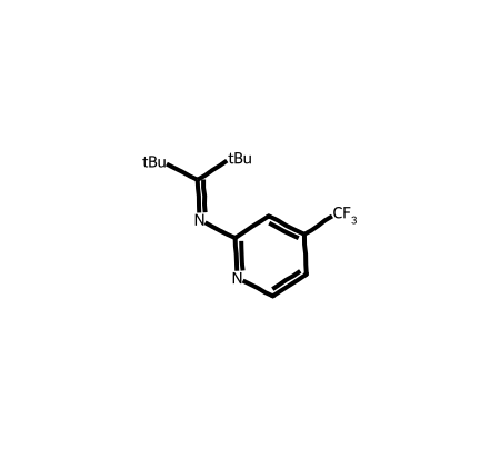 CC(C)(C)C(=Nc1cc(C(F)(F)F)ccn1)C(C)(C)C